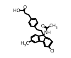 CC(=O)NC1(CCc2ccc(CCC(=O)O)cc2)c2ccc(C)cc2-c2cc(Cl)ccc21